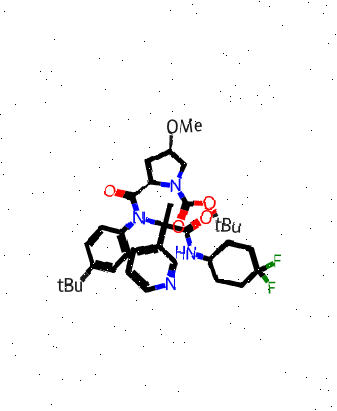 CO[C@@H]1C[C@H](C(=O)N(c2ccc(C(C)(C)C)cc2)C(C)(C(=O)NC2CCC(F)(F)CC2)c2cccnc2)N(C(=O)OC(C)(C)C)C1